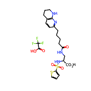 O=C(CCCCc1ccc2c(n1)NCCC2)NC[C@H](NS(=O)(=O)c1cccs1)C(=O)O.O=C(O)C(F)(F)F